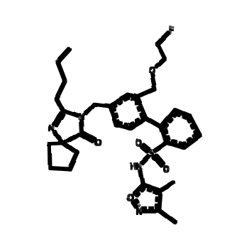 CCCCC1=NC2(CCCC2)C(=O)N1Cc1ccc(-c2ccccc2S(=O)(=O)Nc2onc(C)c2C)c(COCCF)c1